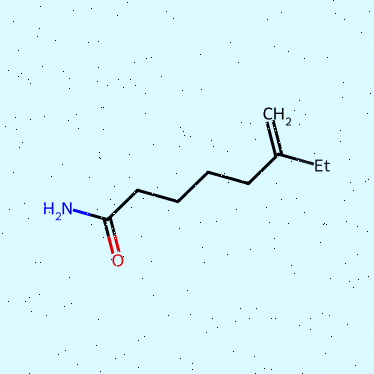 C=C(CC)CCCCC(N)=O